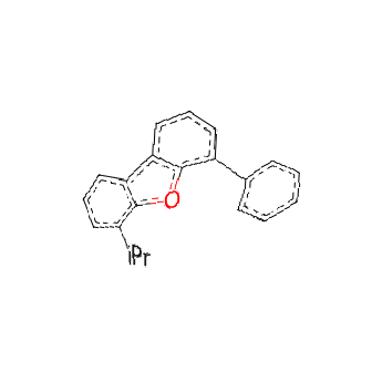 CC(C)c1cccc2c1oc1c(-c3ccccc3)cccc12